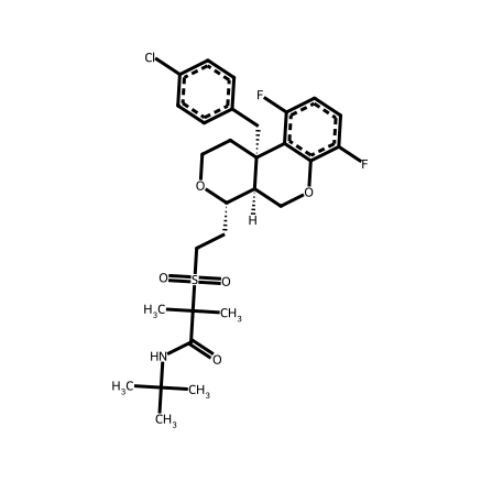 CC(C)(C)NC(=O)C(C)(C)S(=O)(=O)CC[C@@H]1OCC[C@@]2(Cc3ccc(Cl)cc3)c3c(F)ccc(F)c3OC[C@@H]12